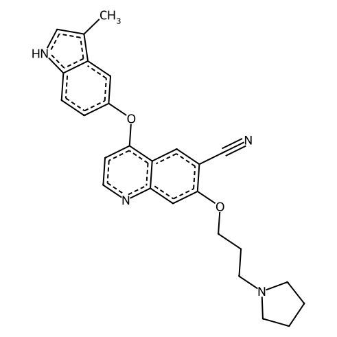 Cc1c[nH]c2ccc(Oc3ccnc4cc(OCCCN5CCCC5)c(C#N)cc34)cc12